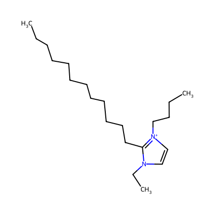 CCCCCCCCCCCCc1n(CC)cc[n+]1CCCC